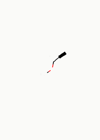 C#CCOC.[Ar]